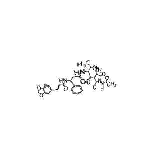 CC(=O)NN1C(=O)[C@@H](C(=O)[C@@H](NC(=O)C[C@H](NC(=O)/C=C/c2ccc3c(c2)OCO3)c2ccccc2)C(C)C)[C@H](C)C1=O